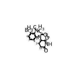 CN(C)c1c(Br)cccc1N(C=O)C1CCC(=O)NC1=O